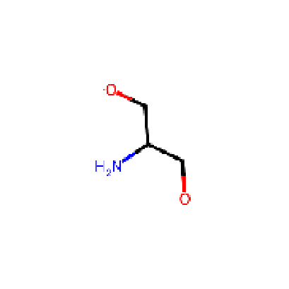 NC(C[O])C[O]